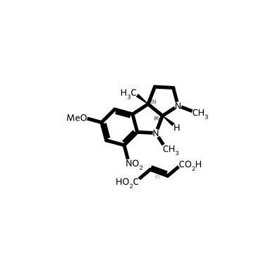 COc1cc([N+](=O)[O-])c2c(c1)[C@]1(C)CCN(C)[C@@H]1N2C.O=C(O)/C=C/C(=O)O